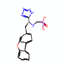 O=P(O)(O)CN[C@@H](Cc1ccc2c(c1)oc1ccccc12)c1nnn[nH]1